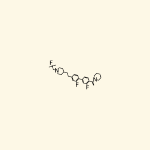 C=C(c1ccc(-c2ccc(CCC3CCN(CC(C)(C)F)CC3)cc2F)cc1F)N1CCCCC1